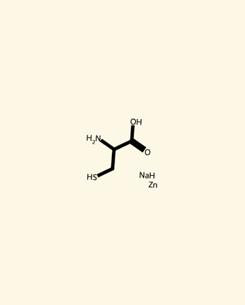 NC(CS)C(=O)O.[NaH].[Zn]